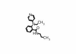 CCCNC(=O)c1ccccc1N(CC)c1ccncc1